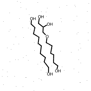 OCCCCCCCCCCO.OCCCCCCOCC(O)CO